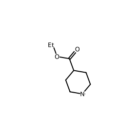 CCOC(=O)C1CC[N]CC1